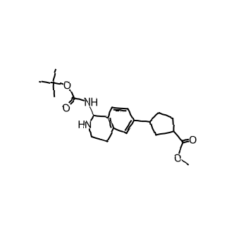 COC(=O)C1CCC(c2ccc3c(c2)CCNC3NC(=O)OC(C)(C)C)C1